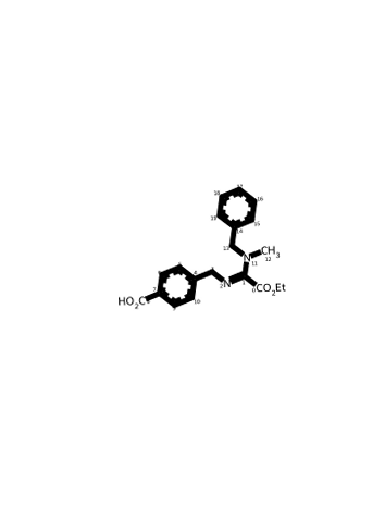 CCOC(=O)C(=NCc1ccc(C(=O)O)cc1)N(C)Cc1ccccc1